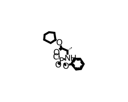 C[C@H](N[P@@](=O)(Cl)Oc1ccccc1)C(=O)OC1CCCCC1